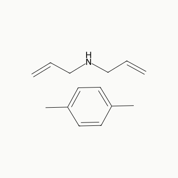 C=CCNCC=C.Cc1ccc(C)cc1